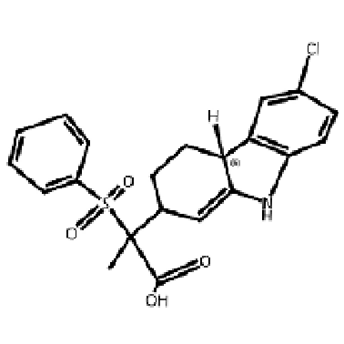 CC(C(=O)O)(C1C=C2Nc3ccc(Cl)cc3[C@H]2CC1)S(=O)(=O)c1ccccc1